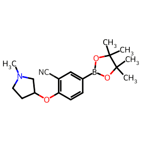 CN1CCC(Oc2ccc(B3OC(C)(C)C(C)(C)O3)cc2C#N)C1